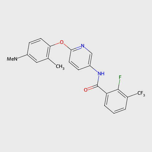 CNc1ccc(Oc2ccc(NC(=O)c3cccc(C(F)(F)F)c3F)cn2)c(C)c1